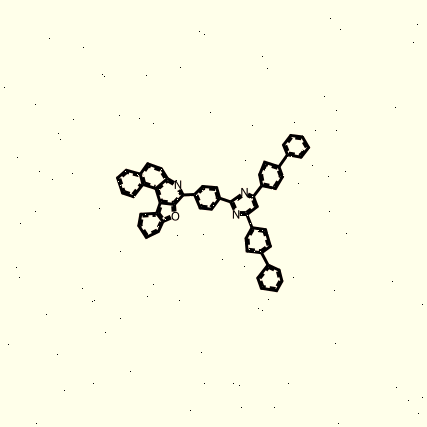 c1ccc(-c2ccc(-c3cc(-c4ccc(-c5ccccc5)cc4)nc(-c4ccc(-c5nc6ccc7ccccc7c6c6c5oc5ccccc56)cc4)n3)cc2)cc1